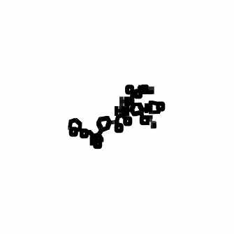 CC(C)(C)OC(=O)Nc1cc(N2CCOCC2)c(C(F)(F)F)cc1NC(=O)CC(=O)c1cccc(-c2conc2COC2CCCCO2)c1